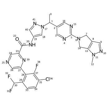 CC(c1cnc(N2Cc3cnn(C)c3C2)nc1)n1cc(NC(=O)c2cncc(-c3c(C(F)F)ccc(Cl)c3F)n2)cn1